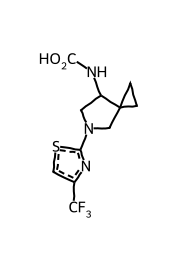 O=C(O)NC1CN(c2nc(C(F)(F)F)cs2)CC12CC2